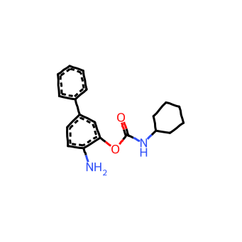 Nc1ccc(-c2ccccc2)cc1OC(=O)NC1CCCCC1